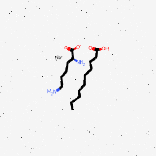 CCCCCCCCCC(=O)O.NCCCC[C@H](N)C(=O)[O-].[Na+]